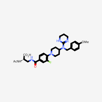 COc1ccc(CN(C2=NCCCN2)C2CCN(c3ccc(C(=O)NC[C@H](NC(C)=O)C(=O)O)cc3F)CC2)cc1